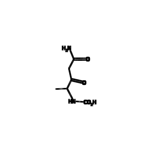 CC(NC(=O)O)C(=O)CC(N)=O